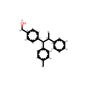 Cc1ccc(C(c2ccc(CO)cc2)C(C)c2ccccc2)cc1